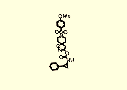 COc1ccc(S(=O)(=O)N2CCC3(CC2)CC(OC(=O)NC2CC2c2ccccc2)=NO3)cc1